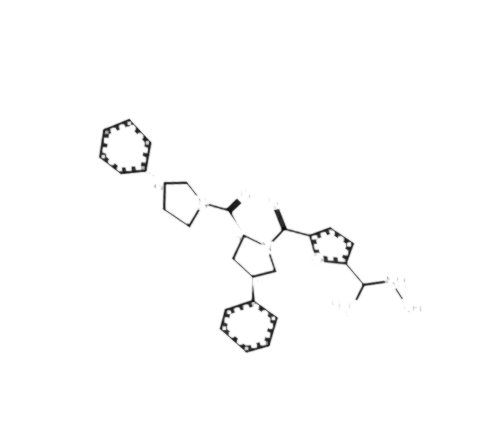 CNC(C)c1ccc(C(=O)N2C[C@@H](c3ccccc3)C[C@H]2C(=O)N2CC[C@H](c3ccccc3)C2)o1